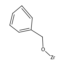 [Zr][O]Cc1ccccc1